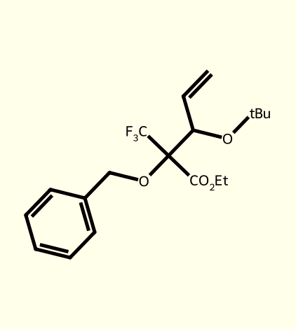 C=CC(OC(C)(C)C)C(OCc1ccccc1)(C(=O)OCC)C(F)(F)F